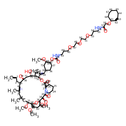 C=CC[C@@H]1/C=C(\C)C[C@H](C)C[C@H](OC)[C@H]2O[C@@](O)(C(=O)C(=O)N3CCCC[C@H]3C(=O)O[C@H](/C(C)=C/[C@@H]3CC[C@@H](OC(=O)NCCCOCCOCCOCCCNC(=O)COC4C#CCCCCC4)[C@H](OC)C3)[C@H](C)[C@@H](O)CC1=O)[C@H](C)C[C@@H]2OC